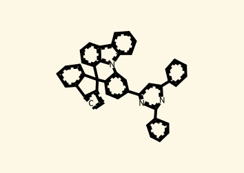 c1ccc(-c2cc(-c3ccc4c(c3)-n3c5ccccc5c5cccc(c53)C43c4ccccc4-c4ccccc43)nc(-c3ccccc3)n2)cc1